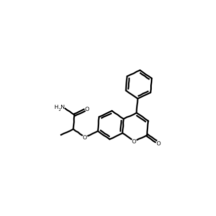 CC(Oc1ccc2c(-c3ccccc3)cc(=O)oc2c1)C(N)=O